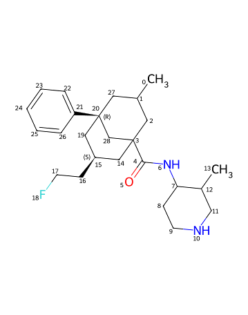 CC1CC2(C(=O)NC3CCNCC3C)C[C@@H](CCF)C[C@](c3ccccc3)(C1)C2